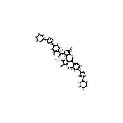 Cc1c(Cl)cc(C(=O)c2ccc(-c3cn(C4CCCCC4)nn3)cc2O)n1-c1c(C(=O)c2ccc(-c3cn(C4CCCCC4)nn3)cc2O)[nH]c(Cl)c1Cl